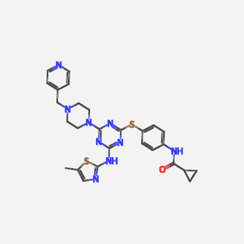 Cc1cnc(Nc2nc(Sc3ccc(NC(=O)C4CC4)cc3)nc(N3CCN(Cc4ccncc4)CC3)n2)s1